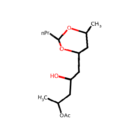 CCCC1OC(C)CC(CC(O)CC(C)OC(C)=O)O1